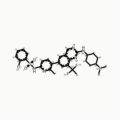 Cc1nc(NS(=O)(=O)c2ccccc2Cl)ccc1-c1cc(C(C)(F)F)c2nc(NC3CCC(N(C)C)CC3)ncc2c1